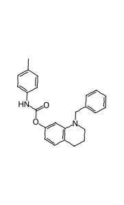 Cc1ccc(NC(=O)Oc2ccc3c(c2)N(Cc2ccccc2)CCC3)cc1